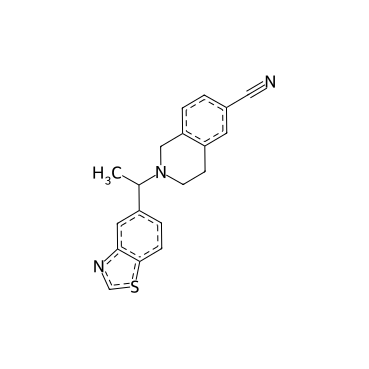 CC(c1ccc2scnc2c1)N1CCc2cc(C#N)ccc2C1